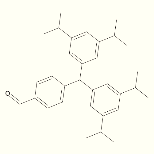 CC(C)c1cc(C(C)C)cc(C(c2ccc(C=O)cc2)c2cc(C(C)C)cc(C(C)C)c2)c1